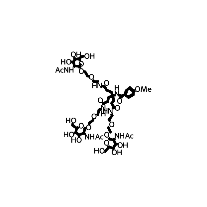 COc1ccc(C(=O)NC(CCC(=O)NCCOCCOC2OC(CO)C(O)C(O)C2NC(C)=O)(CCC(=O)NCCOCCOC2OC(CO)C(O)C(O)C2NC(C)=O)CCC(=O)NCCOCCOC2OC(CO)C(O)C(O)C2NC(C)=O)cc1